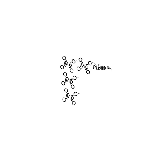 [Bi+3].[Bi+3].[O]=[Mo](=[O])([O-])[O-].[O]=[Mo](=[O])([O-])[O-].[O]=[Mo](=[O])([O-])[O-].[O]=[Mo](=[O])([O-])[O-].[Pb+2]